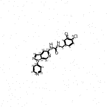 O=C(NCc1ccc(Cl)c(Cl)c1)Nc1cc2cnn(-c3ccncc3)c2cn1